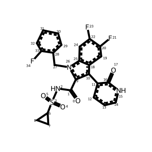 O=C(NS(=O)(=O)C1CC1)c1c(-c2ccc[nH]c2=O)c2cc(F)c(F)cc2n1Cc1ccccc1F